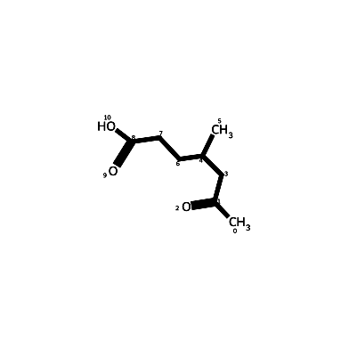 CC(=O)CC(C)CCC(=O)O